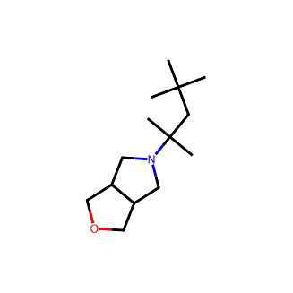 CC(C)(C)CC(C)(C)N1CC2COCC2C1